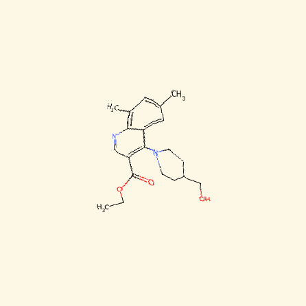 CCOC(=O)c1cnc2c(C)cc(C)cc2c1N1CCC(CO)CC1